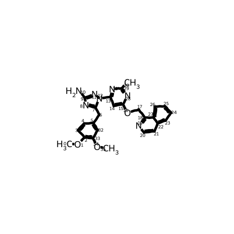 COc1ccc(Cc2nc(N)nn2-c2cc(OCc3nccc4ccccc34)nc(C)n2)cc1OC